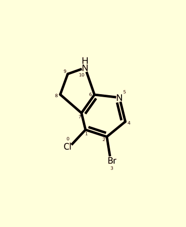 Clc1c(Br)cnc2c1CCN2